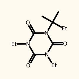 CCn1c(=O)n(CC)c(=O)n(C(C)(C)CC)c1=O